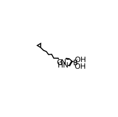 OB(O)C1=CNN(OCCCCCCC2CC2)C=C1